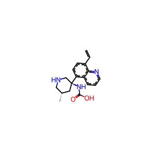 C=Cc1ccc([C@@]2(NC(=O)O)CNC[C@@H](C)C2)c2cccnc12